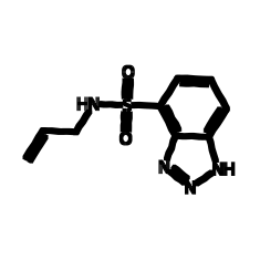 C=CCNS(=O)(=O)c1cccc2[nH]nnc12